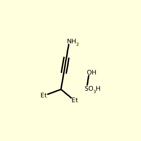 CCC(C#CN)CC.O=S(=O)(O)O